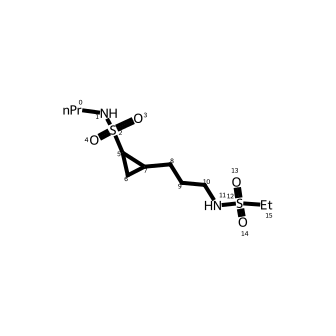 CCCNS(=O)(=O)C1CC1CCCNS(=O)(=O)CC